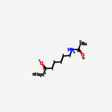 CCCCCCCC(=O)CCCCCNC(=O)CCCC